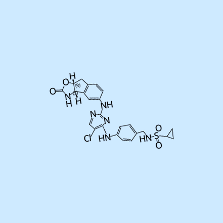 O=C1N[C@H]2c3cc(Nc4ncc(Cl)c(Nc5ccc(CNS(=O)(=O)C6CC6)cc5)n4)ccc3C[C@H]2O1